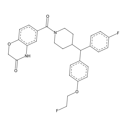 O=C1COc2ccc(C(=O)N3CCC(C(c4ccc(F)cc4)c4ccc(OCCF)cc4)CC3)cc2N1